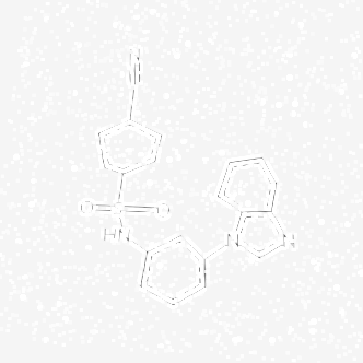 N#Cc1ccc(S(=O)(=O)Nc2cccc(-n3cnc4ccccc43)c2)cc1